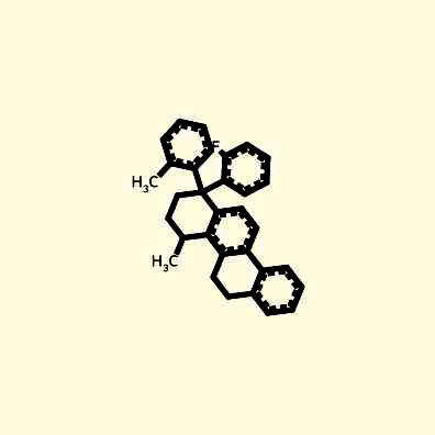 Cc1ccccc1C1(c2ccccc2F)CCC(C)c2c1ccc1c2CCc2ccccc2-1